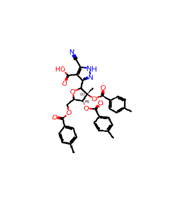 Cc1ccc(C(=O)OCC2OC(c3n[nH]c(C#N)c3C(=O)O)[C@](C)(OC(=O)c3ccc(C)cc3)[C@@H]2OC(=O)c2ccc(C)cc2)cc1